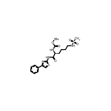 CC(C)(C)OC(=O)N[C@@H](CCCCNS(C)(=O)=O)C(=O)Nc1nc(-c2ccccc2)cs1